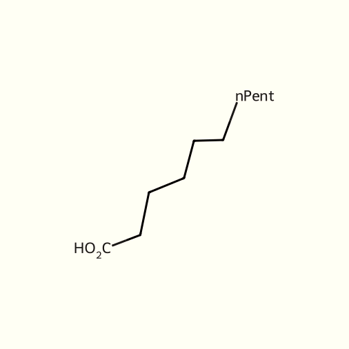 C[CH]CCCCCCCCC(=O)O